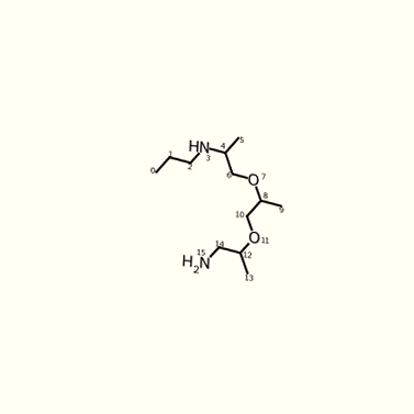 CCCNC(C)COC(C)COC(C)CN